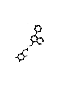 COc1cccc(-c2ccc(CNC(=O)Cc3cc(F)c(F)cc3F)c3cnccc23)c1